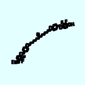 CCOc1ccc(OCC2CCC(OCCCCCCCC(=O)CCCCCCCOC3CCC(COc4ccc(O)c(F)c4F)CC3)CC2)c(F)c1F